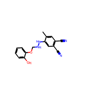 Cc1cc(C#N)c(C#N)cc1NNCOc1ccccc1O